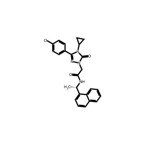 C[C@H](NC(=O)Cn1nc(-c2ccc(Cl)cc2)n(C2CC2)c1=O)c1cccc2ccccc12